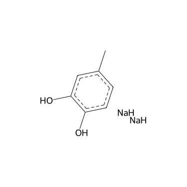 Cc1ccc(O)c(O)c1.[NaH].[NaH]